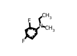 CCN(C)c1ccc(F)cc1F